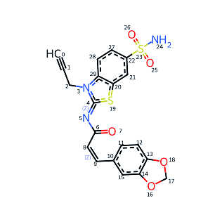 C#CCn1/c(=N/C(=O)/C=C\c2ccc3c(c2)OCO3)sc2cc(S(N)(=O)=O)ccc21